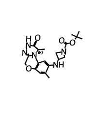 Cc1cc2c(cc1NC1CN(C(=O)OC(C)(C)C)C1)N1C(=NNC(=O)[C@H]1C)CO2